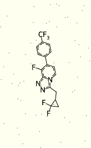 Fc1c(-c2ccc(C(F)(F)F)cc2)ccn2c(CC3CC3(F)F)nnc12